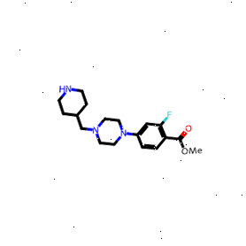 COC(=O)c1ccc(N2CCN(CC3CCNCC3)CC2)cc1F